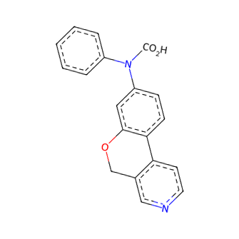 O=C(O)N(c1ccccc1)c1ccc2c(c1)OCc1cnccc1-2